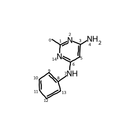 Cc1nc(N)cc(Nc2ccccc2)n1